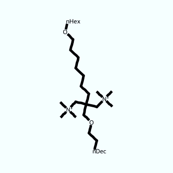 CCCCCCCCCCCCOCC(CCCCCCCOCCCCCC)(C[N+](C)(C)C)C[N+](C)(C)C